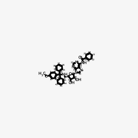 COc1ccc(C(NC[C@H]2O[C@@H](n3cnc4c(NC(=O)c5ccccc5)ncnc43)[C@@H](O)C2O)(c2ccccc2)c2ccccc2)cc1